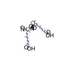 CC1=C(/C=C/C(C)=C/C=C/C(C)=C/C(=O)O)[C@@](C)(S(=O)(=O)N(C)C2CC[C@](C)(c3ccccn3)C(/C=C/C(C)=C/C=C/C(C)=C/C(=O)O)=C2C)CCC1